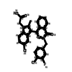 Cc1c(-c2nn(Cc3ccc(Cl)c(F)c3)c(=O)c3ccccc23)c2cc(Cl)ccc2n1CC(=O)O